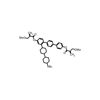 C=C(COC)C(=O)Oc1ccc(-c2ccc(-c3ccc(OC(=O)C(=C)COC)cc3C3CCC(C4CCC(CCCC)CC4)CC3)cc2)cc1